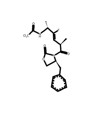 C[C@H](/C=C(\F)[C@@H](C)NC(=O)C(Cl)(Cl)Cl)C(=O)N1C(=O)OC[C@@H]1Cc1ccccc1